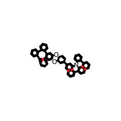 C1=C[C@H]2C3c4ccccc4-c4ccccc4-c4cc5c(cc4C32C=C1)OC1C=C(c2cccc(N(c3ccccc3-c3ccccc3)c3ccccc3-c3ccccc3)c2)C=CC1O5